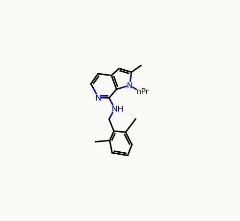 CCCn1c(C)cc2ccnc(NCc3c(C)cccc3C)c21